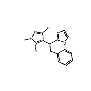 CCc1nn(C)c(CC)c1C(Cc1ccccc1)c1ncc[nH]1